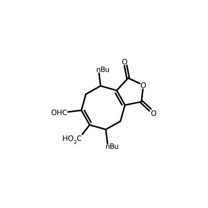 CCCCC1C/C(C=O)=C(/C(=O)O)C(CCCC)CC2=C1C(=O)OC2=O